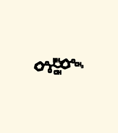 COc1ccc(C[C@H](N)C(=O)Oc2ccccc2)cc1.Cl